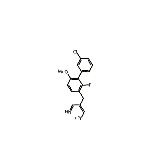 CCC/C=C(\C=N)Cc1ccc(OC)c(-c2cccc(Cl)c2)c1F